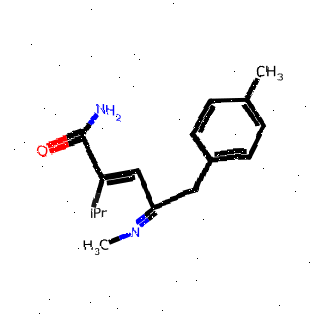 C/N=C(\C=C(\C(N)=O)C(C)C)Cc1ccc(C)cc1